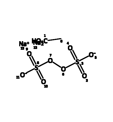 CC(=O)O.O=S(=O)([O-])OOS(=O)(=O)[O-].[Na+].[Na+]